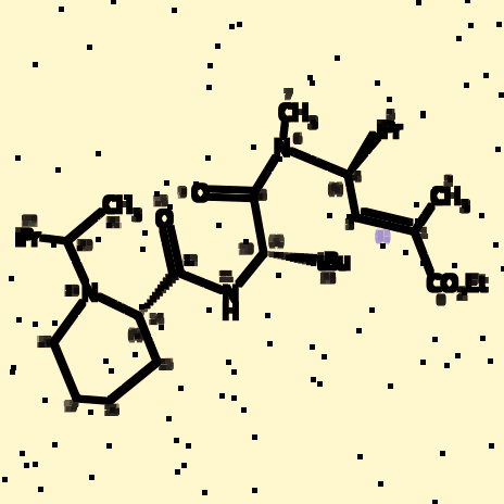 CCOC(=O)/C(C)=C/[C@H](C(C)C)N(C)C(=O)[C@@H](NC(=O)[C@@H]1CCCCN1C(C)C(C)C)C(C)(C)C